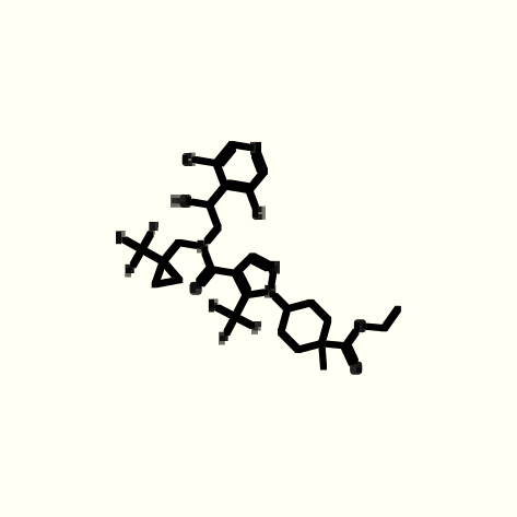 CCOC(=O)C1(C)CCC(n2ncc(C(=O)N(CC(O)c3c(Cl)cncc3Cl)CC3(C(F)(F)F)CC3)c2C(F)(F)F)CC1